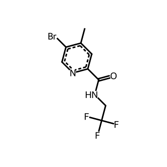 Cc1cc(C(=O)NCC(F)(F)F)ncc1Br